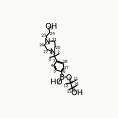 CC(C)(c1ccc(B(O)OC(C)(C)C(C)(C)O)cc1)N1CCN(CCO)CC1